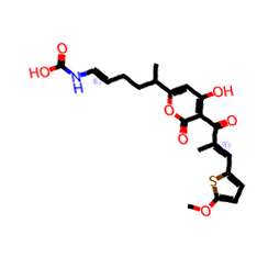 COc1ccc(/C=C(\C)C(=O)c2c(O)cc(C(C)CC/C=C/NC(=O)O)oc2=O)s1